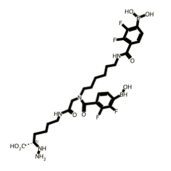 NN[C@@H](CCCCNC(=O)CN(CCCCCCNC(=O)c1ccc(B(O)O)c(F)c1F)C(=O)c1ccc(BO)c(F)c1F)C(=O)O